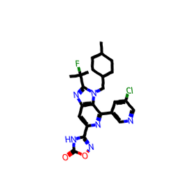 CC1CCC(Cn2c(C(C)(C)F)nc3cc(-c4noc(=O)[nH]4)nc(-c4cncc(Cl)c4)c32)CC1